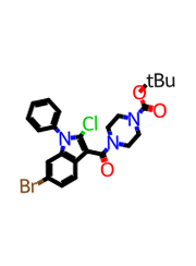 CC(C)(C)OC(=O)N1CCN(C(=O)c2c(Cl)n(-c3ccccc3)c3cc(Br)ccc23)CC1